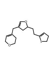 C1=C(CC2=COC(CCC3=CCCS3)C2)CCOC1